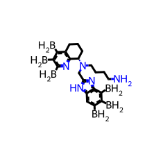 Bc1cc2[nH]c(CN(CCCCN)[C@H]3CCCc4c3nc(B)c(B)c4B)nc2c(B)c1B